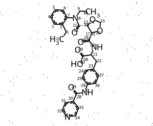 CCc1ccccc1N(CC)C(=O)[C@@H]1OCO[C@H]1C(=O)NC(Cc1ccc(NC(=O)c2ccncc2)cc1)C(=O)O